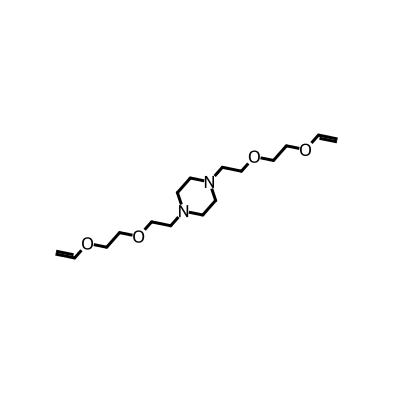 C=COCCOCCN1CCN(CCOCCOC=C)CC1